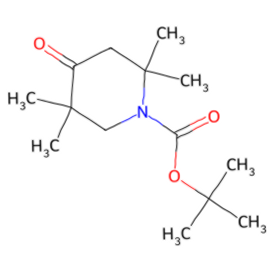 CC(C)(C)OC(=O)N1CC(C)(C)C(=O)CC1(C)C